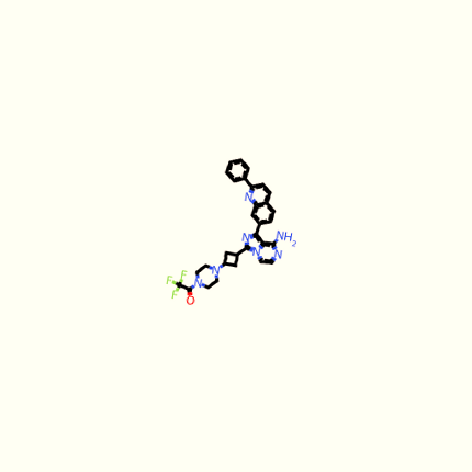 Nc1nccn2c(C3CC(N4CCN(C(=O)C(F)(F)F)CC4)C3)nc(-c3ccc4ccc(-c5ccccc5)nc4c3)c12